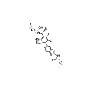 N#CC(NC(O)[C@@H]1C[C@@H]1F)c1c(F)c(Cl)c(-c2cn3cc(NC(=O)[C@@H]4C[C@@H]4F)nc3cn2)c2cn[nH]c12